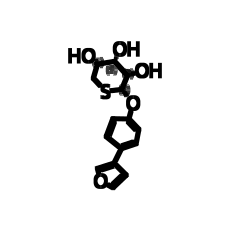 O[C@@H]1[C@@H](O)[C@@H](Oc2ccc(-c3ccoc3)cc2)SC[C@H]1O